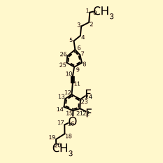 CCCCCCc1ccc(C#Cc2ccc(OCCCC)c(F)c2F)cc1